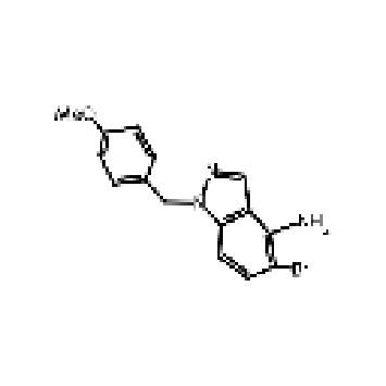 COc1ccc(Cn2ncc3c(N)c(Br)ccc32)cc1